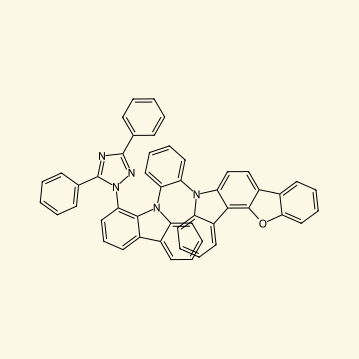 c1ccc(-c2nc(-c3ccccc3)n(-c3cccc4c5ccccc5n(-c5ccccc5-n5c6ccccc6c6c7oc8ccccc8c7ccc65)c34)n2)cc1